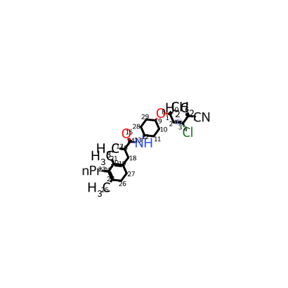 C=C(/C=C(/Cl)C(=C)C#N)OC1CCC(NC(=O)C(C)CC2=C(C)C(CCC)=C(C)CC2)CC1